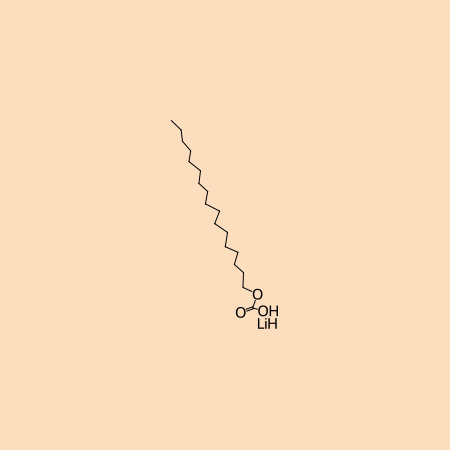 CCCCCCCCCCCCCCCCCOC(=O)O.[LiH]